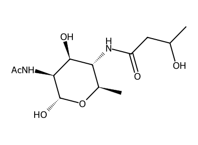 CC(=O)N[C@H]1[C@@H](O)[C@H](NC(=O)CC(C)O)[C@@H](C)O[C@@H]1O